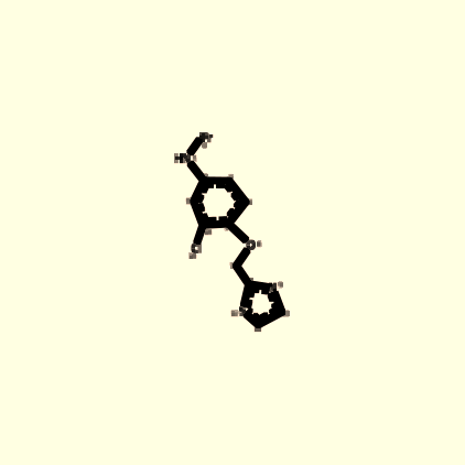 CC(C)Nc1ccc(OCc2nccs2)c(Cl)c1